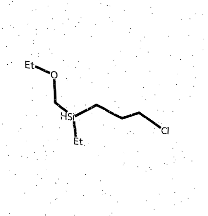 CCOC[SiH](CC)CCCCl